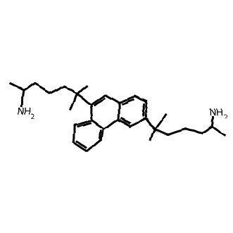 CC(N)CCCC(C)(C)c1ccc2cc(C(C)(C)CCCC(C)N)c3ccccc3c2c1